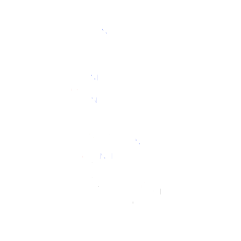 COc1cccc(C2CC2C(=O)Nc2sc3c(c2C#N)CCN(C(=O)NCc2ccncc2)C3)c1